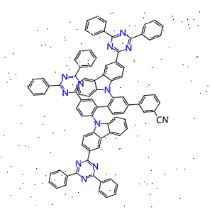 N#Cc1cccc(-c2ccc(-c3cc(-c4nc(-c5ccccc5)nc(-c5ccccc5)n4)ccc3-n3c4ccccc4c4cc(-c5nc(-c6ccccc6)nc(-c6ccccc6)n5)ccc43)c(-n3c4ccccc4c4cc(-c5nc(-c6ccccc6)nc(-c6ccccc6)n5)ccc43)c2)c1